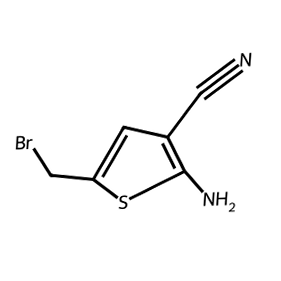 N#Cc1cc(CBr)sc1N